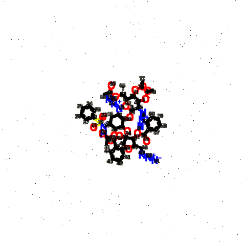 CC(=O)OC1C(N=[N+]=[N-])[C@@H](O[C@@H]2C(N=[N+]=[N-])C[C@@H](NS(=O)(=O)c3ccccc3)C(OC(C)=O)C2O[C@]2(OC(=O)c3ccccc3)CO[C@H](CN=[N+]=[N-])C2OC(=O)c2ccccc2)OC([C@@H](C)OC(C)=O)[C@H]1OC(C)=O